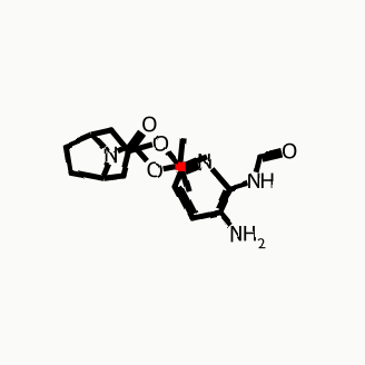 CC(C)(C)OC(=O)N1C2CCC1CC(Oc1ccc(N)c(NC=O)n1)C2